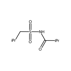 CC(C)CS(=O)(=O)NC(=O)C(C)C